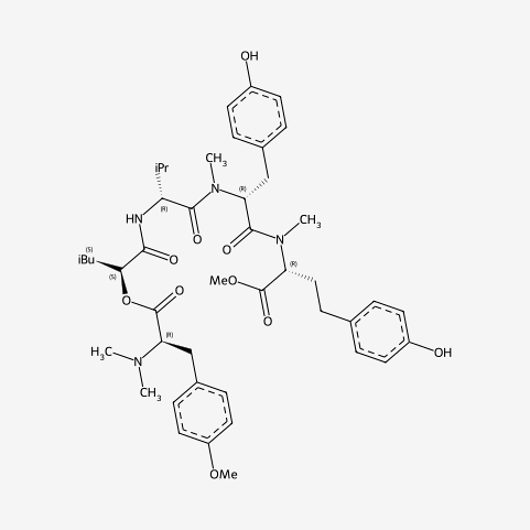 CC[C@H](C)[C@H](OC(=O)[C@@H](Cc1ccc(OC)cc1)N(C)C)C(=O)N[C@@H](C(=O)N(C)[C@H](Cc1ccc(O)cc1)C(=O)N(C)[C@H](CCc1ccc(O)cc1)C(=O)OC)C(C)C